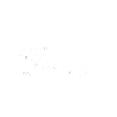 Cl.Fc1cccc(C(F)(F)F)c1COC1CNCCC1c1ccc(OCCCOCc2ccccc2)cc1